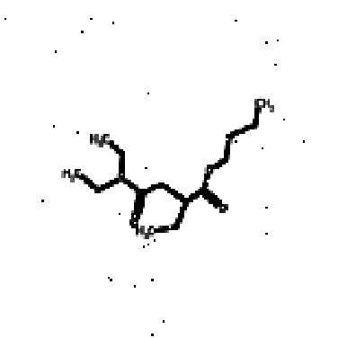 CCCCOC(=O)C(CC)CC(=O)N(CC)CC